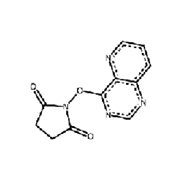 O=C1CCC(=O)N1Oc1ncnc2cccnc12